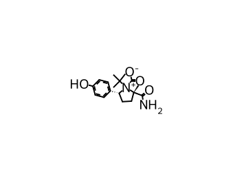 CC(C)(C)[N+]1(C(=O)[O-])[C@@H](c2ccc(O)cc2)CC[C@@]1(C)C(N)=O